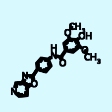 COc1cc(C(=O)Nc2ccc(-c3nc4cnccc4o3)cc2)cc(OC)c1O